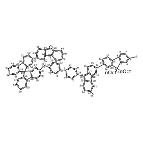 CCCCCCCCC1(CCCCCCCC)c2cc(C)ccc2-c2ccc(-c3ccc4c(c3)c3cc(C)ccc3n4-c3ccc(-c4ccc(N(c5ccc6c(c5)C5(c7ccccc7-c7ccccc75)c5ccccc5-6)c5cccc6oc7ccccc7c56)cc4)cc3)cc21